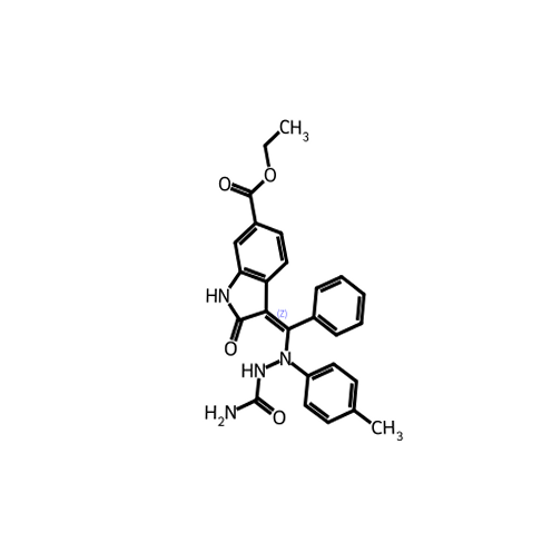 CCOC(=O)c1ccc2c(c1)NC(=O)/C2=C(/c1ccccc1)N(NC(N)=O)c1ccc(C)cc1